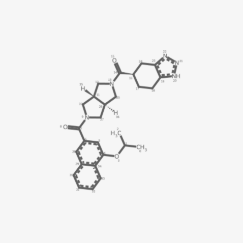 CC(C)Oc1cc(C(=O)N2C[C@@H]3CN(C(=O)[C@@H]4CCc5[nH]nnc5C4)C[C@H]3C2)cc2ccccc12